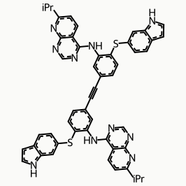 CC(C)c1ccc2c(Nc3cc(C#Cc4ccc(Sc5ccc6cc[nH]c6c5)c(Nc5ncnc6nc(C(C)C)ccc56)c4)ccc3Sc3ccc4cc[nH]c4c3)ncnc2n1